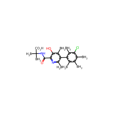 Bc1nc(C(=O)NC(B)(B)C(=O)O)c(O)c(B)c1-c1c(B)c(B)c(B)c(Cl)c1B